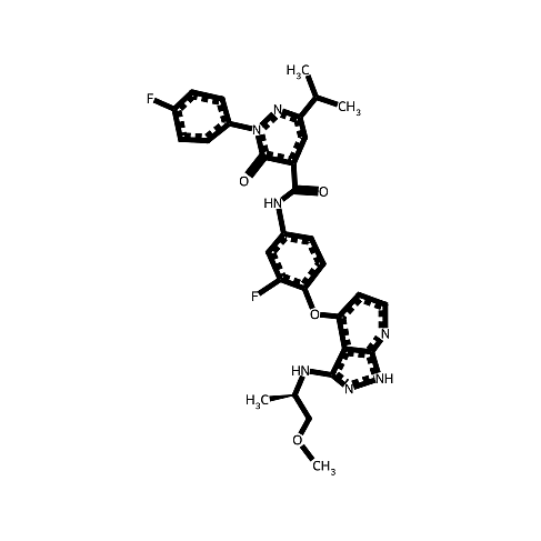 COC[C@@H](C)Nc1n[nH]c2nccc(Oc3ccc(NC(=O)c4cc(C(C)C)nn(-c5ccc(F)cc5)c4=O)cc3F)c12